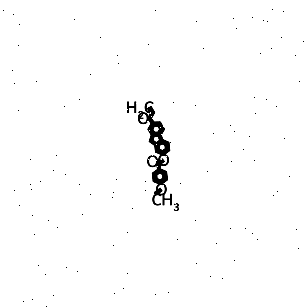 C=CC(=O)c1ccc2c(c1)Cc1cc(OC(=O)c3ccc(OCC)cc3)ccc1-2